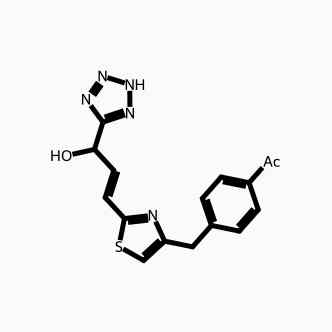 CC(=O)c1ccc(Cc2csc(C=CC(O)c3nn[nH]n3)n2)cc1